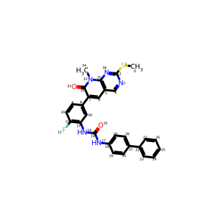 CSc1ncc2cc(-c3ccc(F)c(NC(=O)Nc4ccc(-c5ccccc5)cc4)c3)c(=O)n(C)c2n1